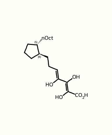 CCCCCCCC[C@H]1CCC[C@@H]1CCC=C(O)C(O)=C(O)C(=O)O